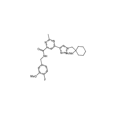 COc1cc(CNC(=O)c2cc(-c3cn(CC4(NC(C)=O)CCCCC4)nn3)nc(C)n2)ccc1F